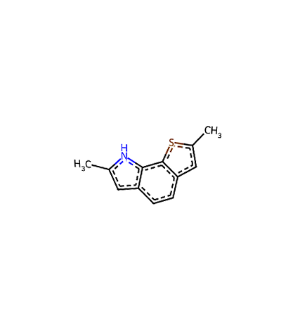 Cc1cc2ccc3cc(C)sc3c2[nH]1